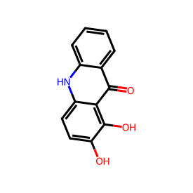 O=c1c2ccccc2[nH]c2ccc(O)c(O)c12